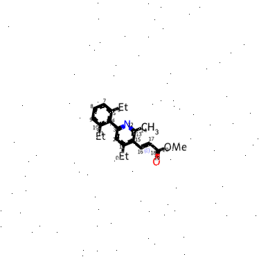 CCc1cc(-c2c(CC)cccc2CC)nc(C)c1/C=C/C(=O)OC